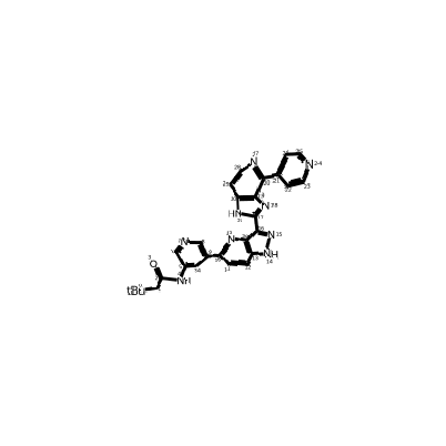 CC(C)(C)CC(=O)Nc1cncc(-c2ccc3[nH]nc(-c4nc5c(-c6ccncc6)nccc5[nH]4)c3n2)c1